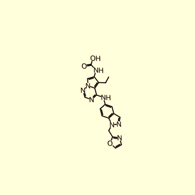 CCc1c(NC(=O)O)cn2ncnc(Nc3ccc4c(cnn4Cc4ncco4)c3)c12